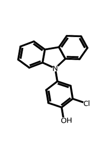 Oc1ccc(-n2c3ccccc3c3ccccc32)cc1Cl